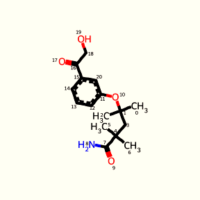 CC(C)(CC(C)(C)C(N)=O)Oc1cccc(C(=O)CO)c1